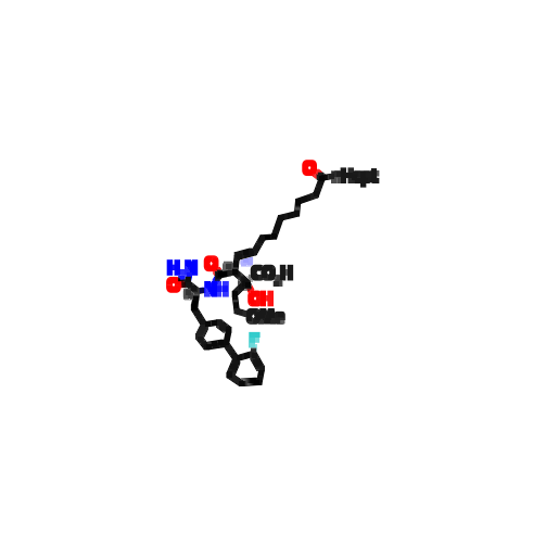 CCCCCCCC(=O)CCCCCC/C=C/[C@H](C(=O)N[C@@H](Cc1ccc(-c2ccccc2F)cc1)C(N)=O)[C@@](O)(CCOC)C(=O)O